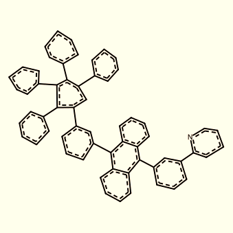 c1ccc(-c2cc(-c3cccc(-c4c5ccccc5c(-c5cccc(-c6ccccn6)c5)c5ccccc45)c3)c(-c3ccccc3)c(-c3ccccc3)c2-c2ccccc2)cc1